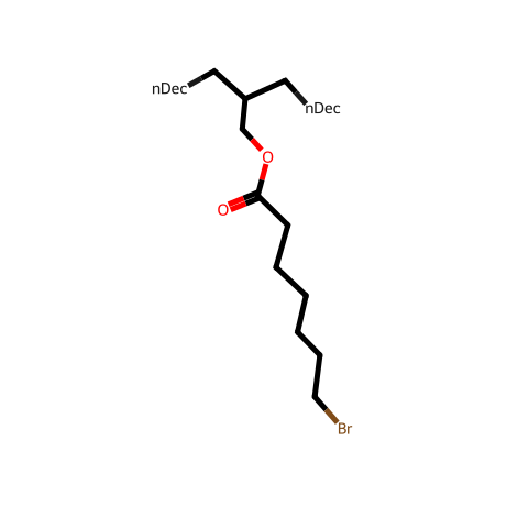 CCCCCCCCCCCC(CCCCCCCCCCC)COC(=O)CCCCCCBr